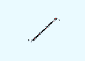 CCCCCCCCCCCCCCCCCCCCCCCCCCCCCCCCCCCCN